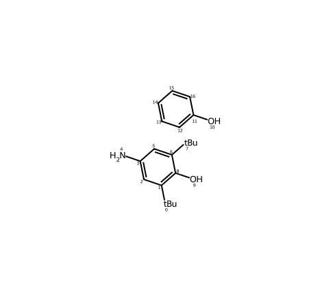 CC(C)(C)c1cc(N)cc(C(C)(C)C)c1O.Oc1ccccc1